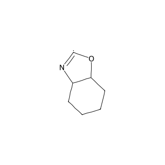 [C]1=NC2CCCCC2O1